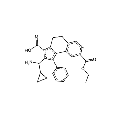 CCOC(=O)c1cc2c(cn1)CCc1c(C(=O)O)c(C(N)C3CC3)n(-c3ccccc3)c1-2